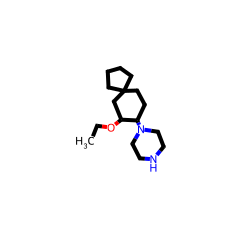 CCOC1CC2(CCCC2)CCC1N1CCNCC1